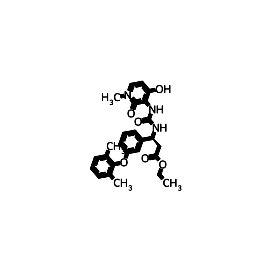 CCOC(=O)C[C@H](NC(=O)Nc1c(O)ccn(C)c1=O)c1cccc(Oc2c(C)cccc2C)c1